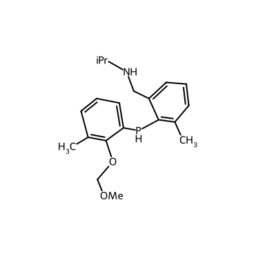 COCOc1c(C)cccc1Pc1c(C)cccc1CNC(C)C